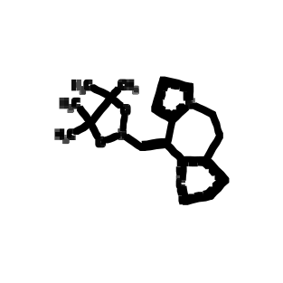 CC1(C)OB(/C=C2/c3ccccc3CCn3cccc32)OC1(C)C